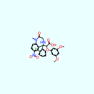 COc1cc(OC)cc(OC(C(=O)O)C2(c3ccccc3F)NCC(=O)N(C)c3ccc([N+](=O)[O-])cc32)c1